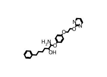 NC(Oc1ccc(OCCOc2ncccn2)cc1)C(O)CCCCc1ccccc1